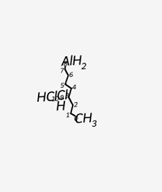 CCCCCCC[CH2][AlH2].Cl.Cl